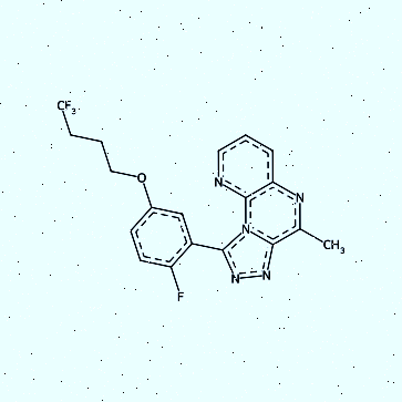 Cc1nc2cccnc2n2c(-c3cc(OCCCC(F)(F)F)ccc3F)nnc12